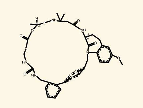 COc1ccc2c(c1)CC[C@H]1NC(=O)CC(C)(C)NC[C@@H](C)OC(=O)CCNC(=O)NCc3ccccc3-c3ccc(cc3)CN2C1=O